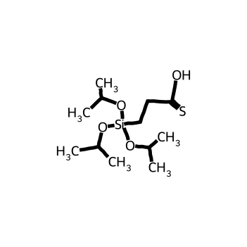 CC(C)O[Si](CCC(O)=S)(OC(C)C)OC(C)C